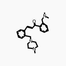 CN(C)Cc1ccccc1C(=O)C=Cc1ccccc1CN1CCN(C)CC1